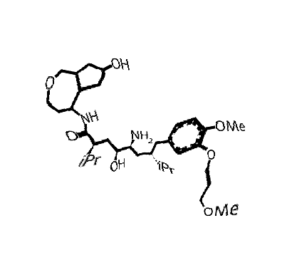 COCCCOc1cc(C[C@@H](C[C@H](N)[C@@H](O)C[C@H](C(=O)NC2CCOCC3CC(O)CC32)C(C)C)C(C)C)ccc1OC